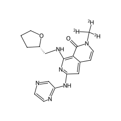 [2H]C([2H])([2H])n1ccc2cc(Nc3cnccn3)nc(NC[C@@H]3CCCO3)c2c1=O